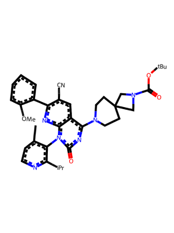 COc1ccccc1-c1nc2c(cc1C#N)c(N1CCC3(CC1)CN(C(=O)OC(C)(C)C)C3)nc(=O)n2-c1c(C)ccnc1C(C)C